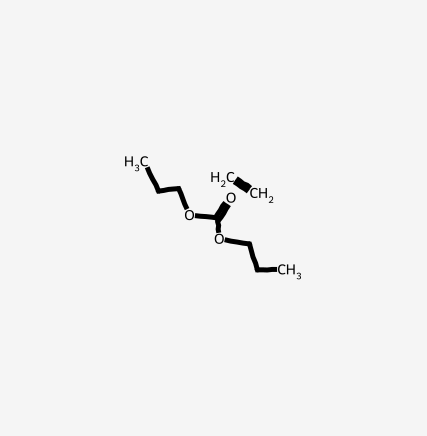 C=C.CCCOC(=O)OCCC